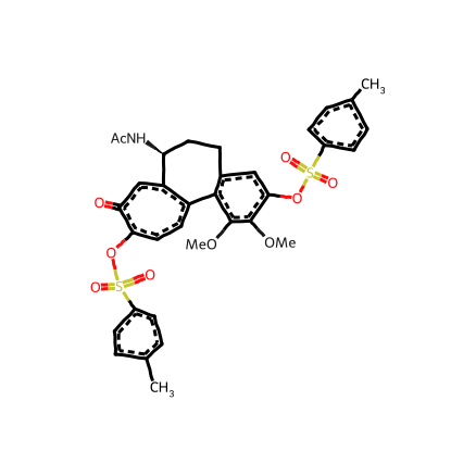 COc1c(OS(=O)(=O)c2ccc(C)cc2)cc2c(c1OC)-c1ccc(OS(=O)(=O)c3ccc(C)cc3)c(=O)cc1[C@@H](NC(C)=O)CC2